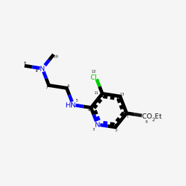 CCOC(=O)c1cnc(NCCN(C)C)c(Cl)c1